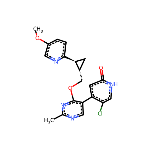 COc1ccc([C@H]2C[C@@H]2COc2nc(C)ncc2-c2cc(=O)[nH]cc2Cl)nc1